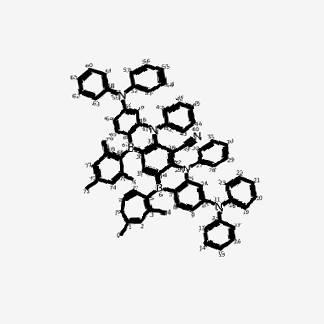 CC1=CC(C)=C(B2c3ccc(N(c4ccccc4)c4ccccc4)cc3N(c3ccccc3)c3c2cc2c(c3C#N)N(c3ccccc3)c3cc(N(c4ccccc4)c4ccccc4)ccc3B2c2c(C)cc(C)cc2C)C#CC1